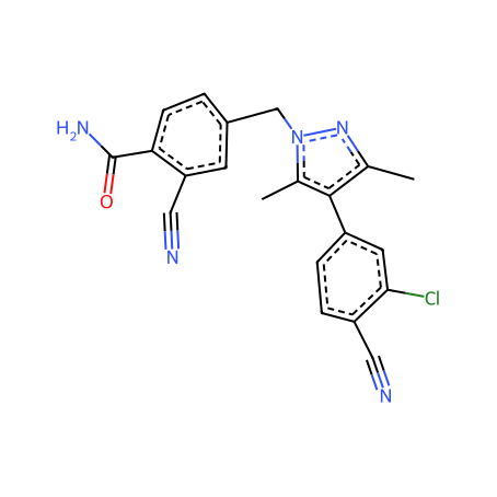 Cc1nn(Cc2ccc(C(N)=O)c(C#N)c2)c(C)c1-c1ccc(C#N)c(Cl)c1